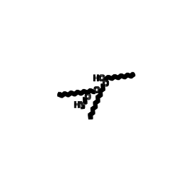 C=CCCCCCCCC(O)OCCC(CCCCCCCC=C)OCCC(CCCCCCCC=C)OCCNC